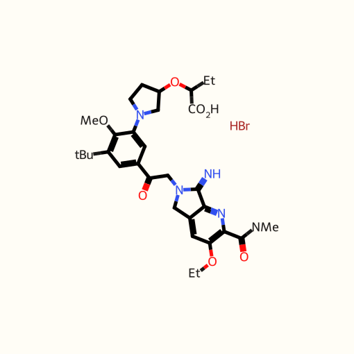 Br.CCOc1cc2c(nc1C(=O)NC)C(=N)N(CC(=O)c1cc(N3CCC(OC(CC)C(=O)O)C3)c(OC)c(C(C)(C)C)c1)C2